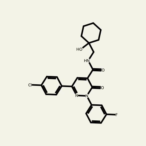 O=C(NCC1(O)CCCCC1)c1cc(-c2ccc(Cl)cc2)nn(-c2cccc(F)c2)c1=O